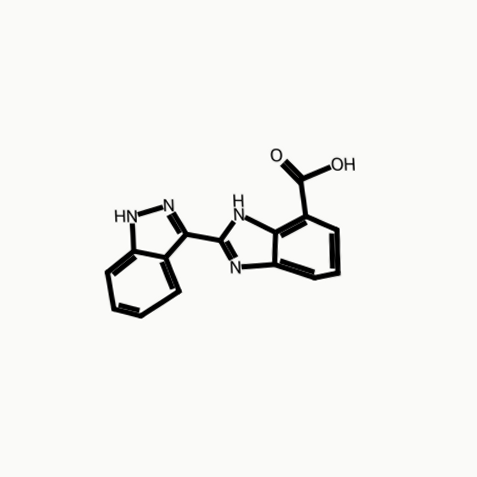 O=C(O)c1cccc2nc(-c3n[nH]c4ccccc34)[nH]c12